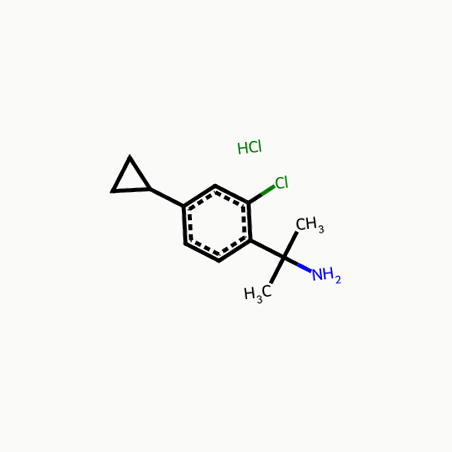 CC(C)(N)c1ccc(C2CC2)cc1Cl.Cl